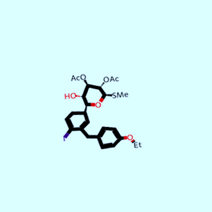 CCOc1ccc(CC2=CC([C@@H]3O[C@H](SC)[C@@H](OC(C)=O)[C@H](OC(C)=O)[C@H]3O)CC=C2I)cc1